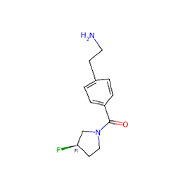 NCCc1ccc(C(=O)N2CC[C@@H](F)C2)cc1